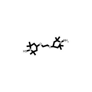 CC1(C)CC(OCCOC2CC(C)(C)N(S)C(C)(C)C2)CC(C)(C)N1N